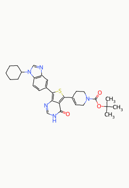 CC(C)(C)OC(=O)N1CC=C(c2sc(-c3ccc4c(c3)ncn4C3CCCCC3)c3nc[nH]c(=O)c23)CC1